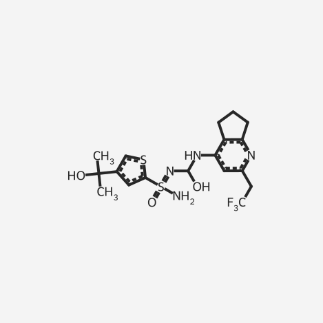 CC(C)(O)c1csc(S(N)(=O)=NC(O)Nc2cc(CC(F)(F)F)nc3c2CCC3)c1